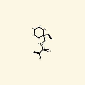 C=CC1(COC(=O)C(=C)C)CCCCC1